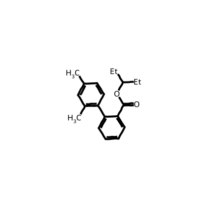 CCC(CC)OC(=O)c1ccccc1-c1ccc(C)cc1C